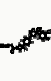 CSCC(=O)N1CC(F)(c2ccc(C3=NOC(c4ccc(F)c(Cl)c4)(C(F)(F)F)C3)cc2)C1